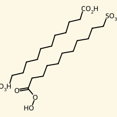 O=C(CCCCCCCCCCS(=O)(=O)O)OO.O=C(O)CCCCCCCCCCS(=O)(=O)O